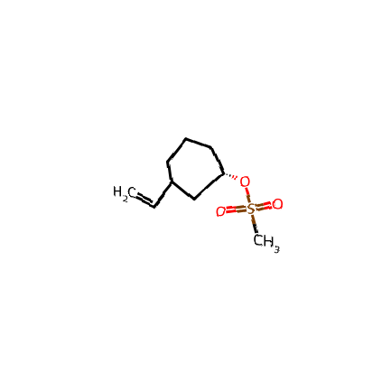 C=CC1CCC[C@H](OS(C)(=O)=O)C1